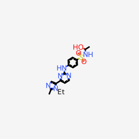 CCn1c(-c2ccnc(Nc3ccc(S(=O)(=O)NC(C)O)cc3)n2)cnc1C